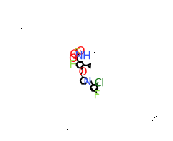 CS(=O)(=O)NC(=O)c1cc(C2CC2)c(OC[C@@H]2CCCN(Cc3ccc(F)cc3Cl)C2)cc1F